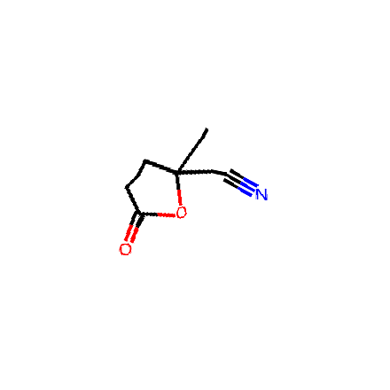 CC1(C#N)CCC(=O)O1